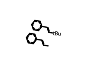 CC(C)(C)C=Cc1ccccc1.CC=Cc1ccccc1